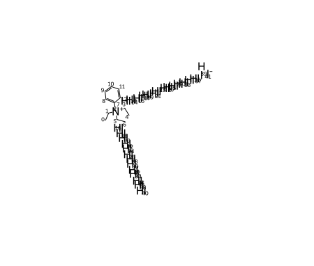 CC[N+](CC)(CC)c1ccccc1.I.I.I.I.I.I.I.I.I.I.I.I.I.I.I.I.I.I.I.I.I.I.I.I.I.I.I.I.[I-]